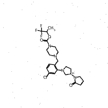 CC(OC(=O)N1CCN(Cc2ccc(Cl)cc2N2CC[C@@H](N3CCCC3=O)C2)CC1)C(F)(F)F